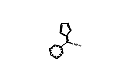 COC(=C1C=CC=C1)c1ccccc1